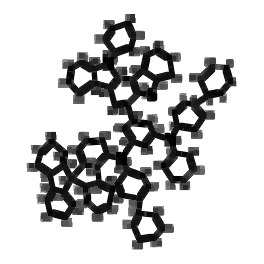 c1ccc(-c2ccc(N(c3ccccc3)c3cc(-c4cc5c6ccccc6n(-c6ccccc6)c5c5c4sc4ccccc45)cc(N(c4ccc(-c5ccccc5)cc4)c4cccc5c4-c4ccccc4C54c5ccccc5-c5ccccc54)c3)cc2)cc1